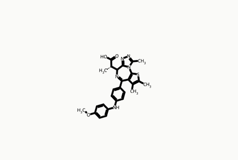 COc1ccc(Nc2ccc(C3=NC([C@H](C)C(=O)O)c4nnc(C)n4-c4sc(C)c(C)c43)cc2)cc1